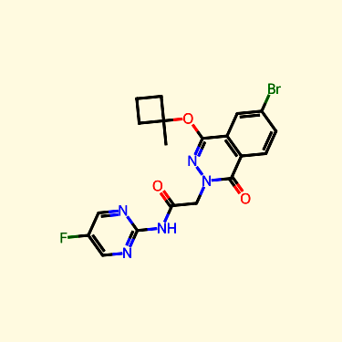 CC1(Oc2nn(CC(=O)Nc3ncc(F)cn3)c(=O)c3ccc(Br)cc23)CCC1